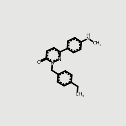 CCc1ccc(Cn2nc(-c3ccc(NC)cc3)ccc2=O)cc1